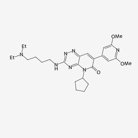 CCN(CC)CCCCNc1nnc2cc(-c3cc(OC)nc(OC)c3)c(=O)n(C3CCCC3)c2n1